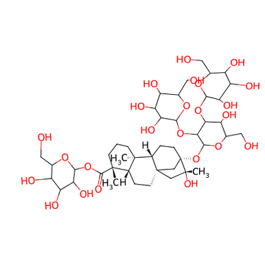 C[C@@]12CCC[C@@](C)(C(=O)OC3OC(CO)C(O)C(O)C3O)[C@H]1CC[C@@]13C[C@@](OC4OC(CO)C(O)C(OC5OC(CO)C(O)C(O)C5O)C4OC4OC(CO)C(O)C(O)C4O)(CC[C@H]12)[C@](C)(O)C3